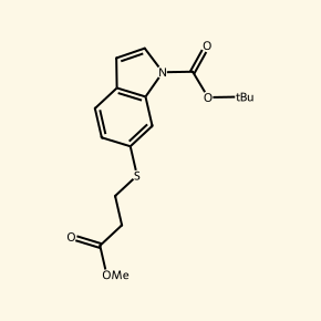 COC(=O)CCSc1ccc2ccn(C(=O)OC(C)(C)C)c2c1